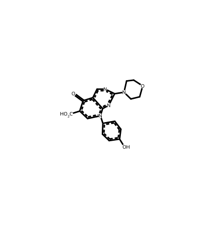 O=C(O)c1cn(-c2ccc(O)cc2)c2nc(N3CCOCC3)ncc2c1=O